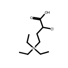 CC[N+](CC)(CC)CCC(Cl)C(=O)O